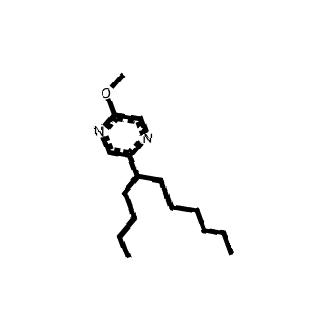 CCCCCCC(CCCC)c1cnc(OC)cn1